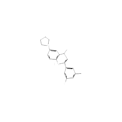 Cc1cc(F)cc(C2=CC(C)c3cc(N4CCCC4)ccc3N2)c1